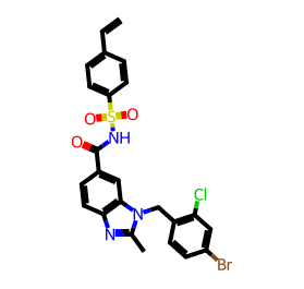 C=Cc1ccc(S(=O)(=O)NC(=O)c2ccc3nc(C)n(Cc4ccc(Br)cc4Cl)c3c2)cc1